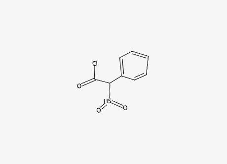 O=C(Cl)C(c1ccccc1)[SH](=O)=O